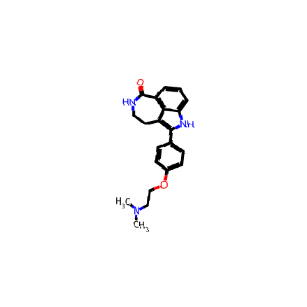 CN(C)CCOc1ccc(-c2[nH]c3cccc4c3c2CCNC4=O)cc1